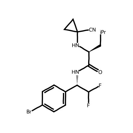 CC(C)C[C@H](NC1(C#N)CC1)C(=O)N[C@@H](c1ccc(Br)cc1)C(F)F